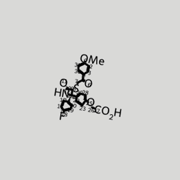 COc1ccc(C(=O)CS[C@H]2C(=O)N[C@@]2(c2ccc(F)cc2)c2ccc(OCC(=O)O)cc2)cc1